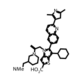 C=C(Cn1c(-c2ccc3nc(C4=C(C)N=C(C)C4)ccc3c2)c(C2CCCCC2)c2sc(C(=O)O)cc21)N1CCCC(CNC)C1